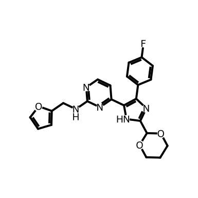 Fc1ccc(-c2nc(C3OCCCO3)[nH]c2-c2ccnc(NCc3ccco3)n2)cc1